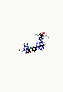 C=C/N=c1/cc(Oc2ccc(Nc3ncnc4cnc(N5CCC(C(C)(C)O)C5)nc34)cc2Cl)ccn1C